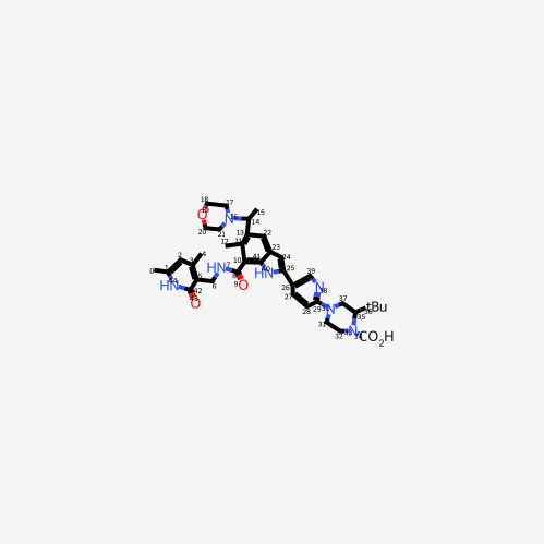 Cc1cc(C)c(CNC(=O)c2c(C)c(C(C)N3CCOCC3)cc3cc(-c4ccc(N5CCN(C(=O)O)C(C(C)(C)C)C5)nc4)[nH]c23)c(=O)[nH]1